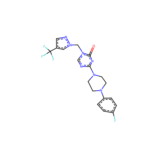 O=c1nc(N2CCN(c3ccc(F)cc3)CC2)ncn1Cn1cc(C(F)(F)F)cn1